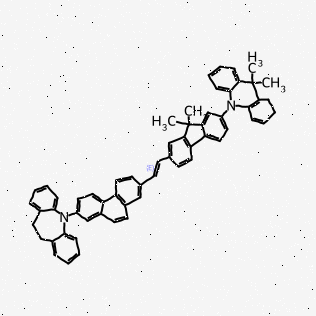 CC1(C)C2=C(C=CCC2)N(c2ccc3c(c2)C(C)(C)c2cc(/C=C/c4ccc5c(ccc6cc(N7c8ccccc8CCc8ccccc87)ccc65)c4)ccc2-3)c2ccccc21